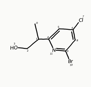 CC(CO)c1cc(Cl)cc(Br)n1